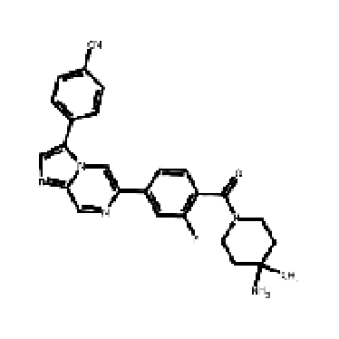 CC1(N)CCN(C(=O)c2ccc(-c3cn4c(-c5ccc(C#N)cc5)cnc4cn3)cc2F)CC1